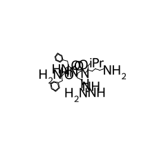 CC(C)C(=O)C(CCCCN)NC(=O)C(CCCNC(=N)N)NC(=O)C(Cc1ccccc1)NC(=O)C(N)Cc1ccccc1